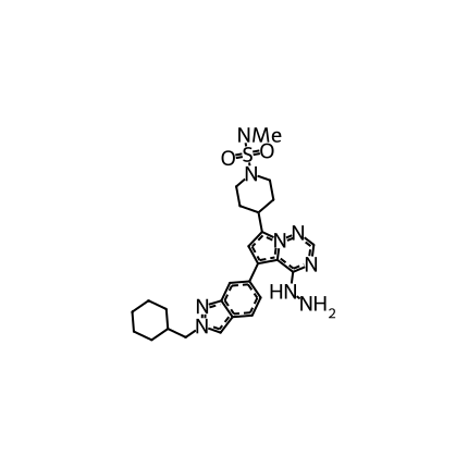 CNS(=O)(=O)N1CCC(c2cc(-c3ccc4cn(CC5CCCCC5)nc4c3)c3c(NN)ncnn23)CC1